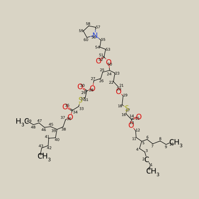 CCCCCC(CCCCC)CCOC(=O)CSCCOCCCC(CCCOC(=O)CSCC(=O)OCCC(CCCCC)CCCCC)OC(=O)CCCN1CCCC1